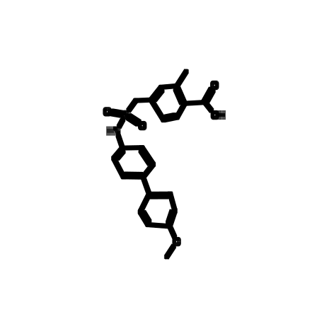 COc1ccc(-c2ccc(NS(=O)(=O)Cc3ccc(C(=O)O)c(C)c3)cc2)cc1